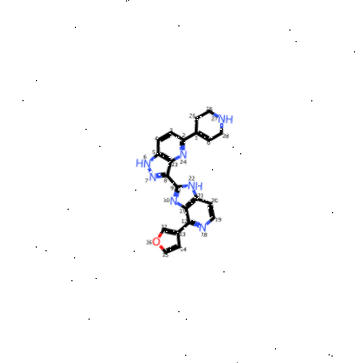 C1=C(c2ccc3[nH]nc(-c4nc5c(-c6ccoc6)nccc5[nH]4)c3n2)CCNC1